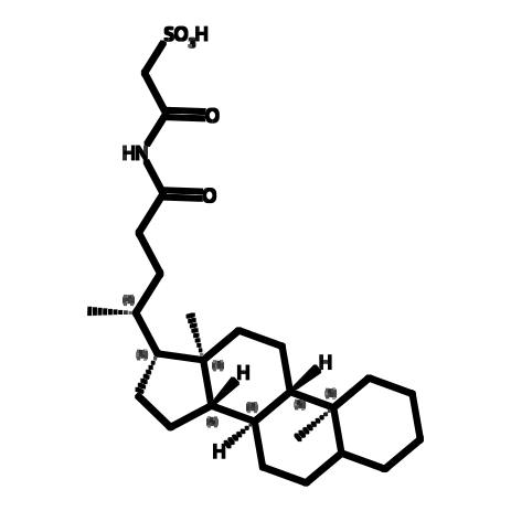 C[C@H](CCC(=O)NC(=O)CS(=O)(=O)O)[C@H]1CC[C@H]2[C@@H]3CCC4CCCC[C@]4(C)[C@H]3CC[C@]12C